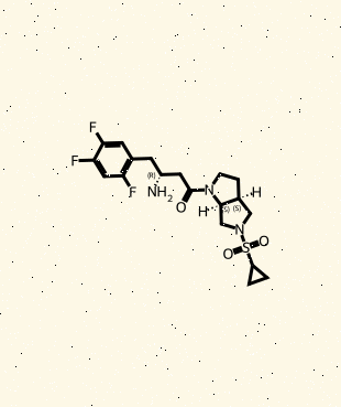 N[C@@H](CC(=O)N1CC[C@H]2CN(S(=O)(=O)C3CC3)C[C@H]21)Cc1cc(F)c(F)cc1F